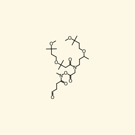 COC(C)(C)CCOC(C)CCN(CC(=O)ON(C)C(=O)CCC=O)C(=O)CC(C)(C)OCCC(C)(C)OC